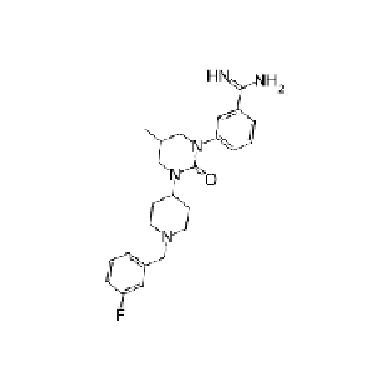 CC1CN(c2cccc(C(=N)N)c2)C(=O)N(C2CCN(Cc3cccc(F)c3)CC2)C1